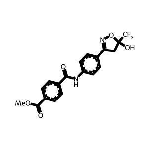 COC(=O)c1ccc(C(=O)Nc2ccc(C3=NOC(O)(C(F)(F)F)C3)cc2)cc1